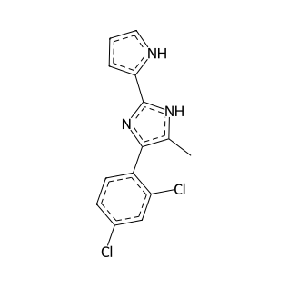 Cc1[nH]c(-c2ccc[nH]2)nc1-c1ccc(Cl)cc1Cl